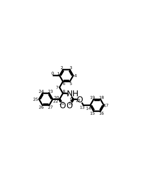 Cc1ccccc1CC(NC(=O)OCc1ccccc1)C(=O)c1ccccc1